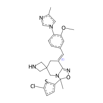 COc1cc(/C=C2\CC3(CNC3)CN3C2=NOC3(C)c2ccc(Cl)s2)ccc1-n1cnc(C)c1